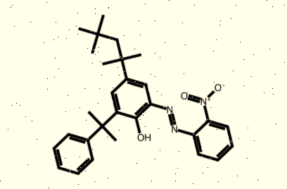 CC(C)(C)CC(C)(C)c1cc(/N=N/c2ccccc2[N+](=O)[O-])c(O)c(C(C)(C)c2ccccc2)c1